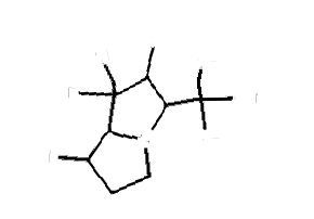 CC1C(C(C)(C)C)N2CCC(F)C2C1(C)F